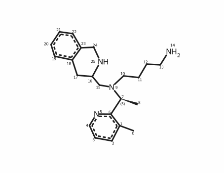 Cc1cccnc1[C@H](C)N(CCCCN)CC1Cc2ccccc2CN1